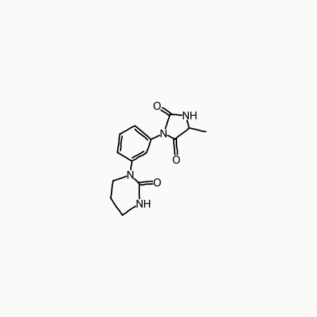 CC1NC(=O)N(c2cccc(N3CCCNC3=O)c2)C1=O